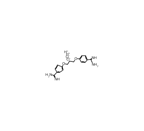 N=C(N)c1ccc(OCCCOc2ccc(C(=N)N)cc2)cc1.[Cl-].[Cl-].[H+].[H+]